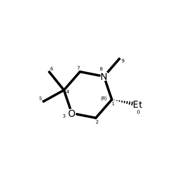 CC[C@@H]1COC(C)(C)CN1C